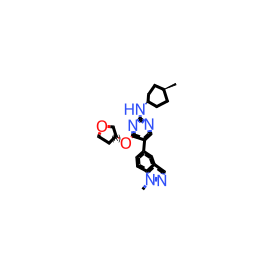 Cn1ncc2cc(-c3cnc(N[C@H]4CC[C@H](C)CC4)nc3O[C@@H]3CCOC3)ccc21